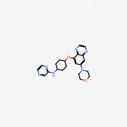 c1cnc(NC2CCC(Oc3cc(N4CCOCC4)cc4nccnc34)CC2)cn1